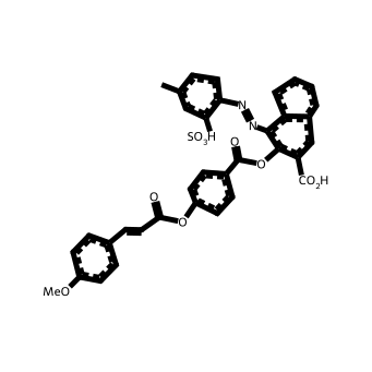 COc1ccc(C=CC(=O)Oc2ccc(C(=O)Oc3c(C(=O)O)cc4ccccc4c3N=Nc3ccc(C)cc3S(=O)(=O)O)cc2)cc1